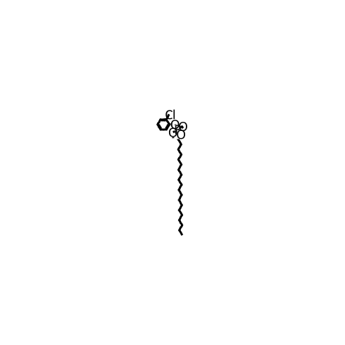 CCCCCCCCCCCCCCCCCCCCOP(=O)(OC)Oc1ccccc1Cl